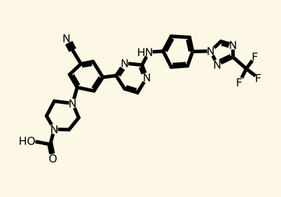 N#Cc1cc(-c2ccnc(Nc3ccc(-n4cnc(C(F)(F)F)n4)cc3)n2)cc(N2CCN(C(=O)O)CC2)c1